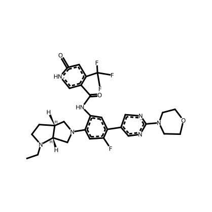 CCN1CC[C@@H]2CN(c3cc(F)c(-c4cnc(N5CCOCC5)nc4)cc3NC(=O)c3c[nH]c(=O)cc3C(F)(F)F)C[C@@H]21